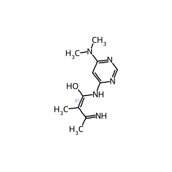 CC(=N)/C(C)=C(/O)Nc1cc(N(C)C)ncn1